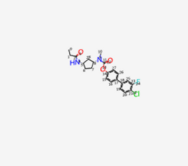 CCC(=O)N[C@H]1CC[C@@H](N(C)C(=O)Oc2ccc(-c3ccc(Cl)c(F)c3)cc2)C1